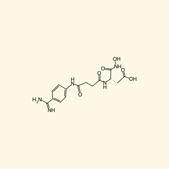 N=C(N)c1ccc(NC(=O)CCC(=O)N[C@@H](CC(=O)O)C(=O)NO)cc1